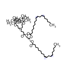 CCCCC/C=C\C/C=C\CCCCCCCC(=O)OC[C@H](COC(=O)CCN(CCO[Si](C)(C)C(C)(C)C)CCO[Si](C)(C)C(C)(C)C)OC(=O)CCCCCCC/C=C\C/C=C\CCCCC